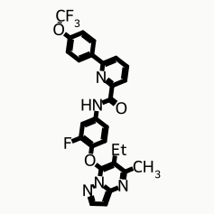 CCc1c(C)nc2ccnn2c1Oc1ccc(NC(=O)c2cccc(-c3ccc(OC(F)(F)F)cc3)n2)cc1F